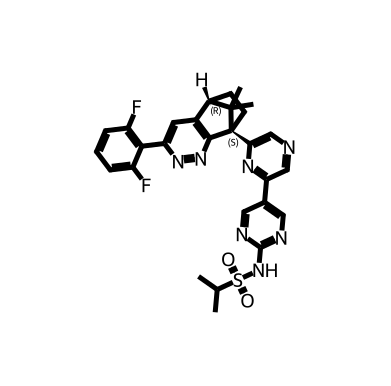 CC(C)S(=O)(=O)Nc1ncc(-c2cncc([C@@]34CC[C@@H](c5cc(-c6c(F)cccc6F)nnc53)C4(C)C)n2)cn1